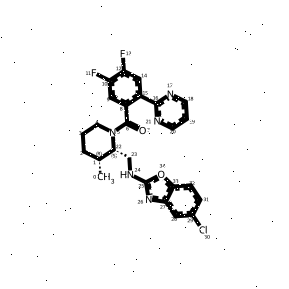 C[C@@H]1CCCN(C(=O)c2cc(F)c(F)cc2-c2ncccn2)[C@@H]1CNc1nc2cc(Cl)ccc2o1